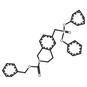 O=C(OCc1ccccc1)N1CCc2cc(CP(=O)(Oc3ccccc3)Oc3ccccc3)ccc2C1